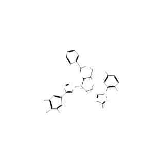 Cc1nc([C@@H]2O[C@@H]3COC(c4ccccc4)O[C@@H]3[C@H](n3cc(-c4cc(F)c(Cl)c(F)c4)nn3)[C@H]2O)n(-c2cc(Cl)ccc2C(F)(F)F)n1